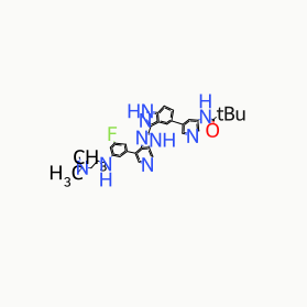 CN(C)CCNc1cc(F)cc(-c2cncc3[nH]c(-c4n[nH]c5ccc(-c6cncc(NC(=O)C(C)(C)C)c6)cc45)nc23)c1